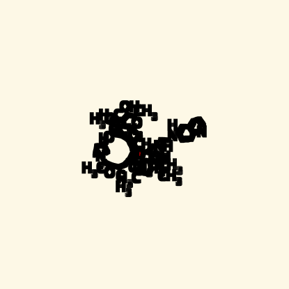 CO[C@]1(C)C[C@H](O[C@H]2[C@H](C)[C@@H](O[C@@H]3O[C@H](C)C[C@H](N(C)C)[C@H]3O)[C@@](C)(OCC(O)CNCCNc3ccc4ncccc4c3)C[C@@H](C)C(=O)[C@H](C)N3CC[C@H](C3)OC(=O)[C@@H]2C)O[C@@H](C)[C@@H]1O